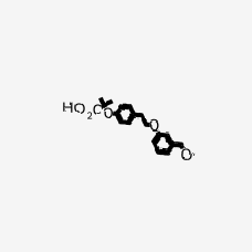 CC(C)(Oc1ccc(CCOc2cccc(C[O])c2)cc1)C(=O)O